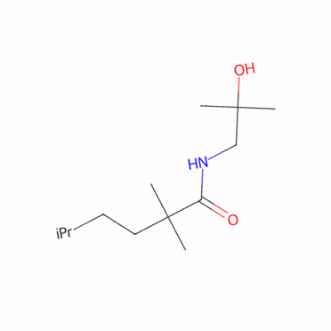 CC(C)CCC(C)(C)C(=O)NCC(C)(C)O